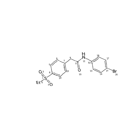 CCS(=O)(=O)c1ccc(CC(=O)Nc2ccc(Br)cc2)cc1